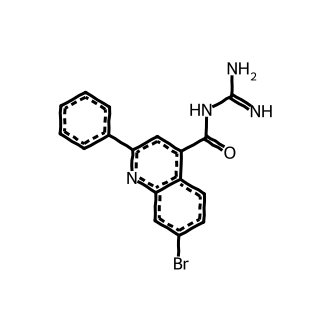 N=C(N)NC(=O)c1cc(-c2ccccc2)nc2cc(Br)ccc12